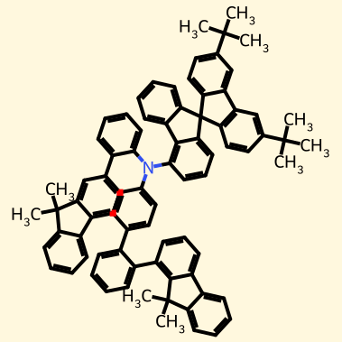 CC(C)(C)c1ccc2c(c1)-c1cc(C(C)(C)C)ccc1C21c2ccccc2-c2c(N(c3ccc(-c4ccccc4-c4cccc5c4C(C)(C)c4ccccc4-5)cc3)c3ccccc3-c3ccc4c(c3)C(C)(C)c3ccccc3-4)cccc21